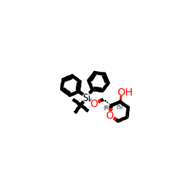 CC(C)(C)[Si](OC[C@H]1OCCC[C@@H]1O)(c1ccccc1)c1ccccc1